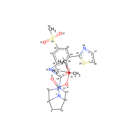 CC(C)(C)OC(=O)N1C2CCC1CN(c1nc3cc(S(C)(=O)=O)cc(-c4nccs4)c3o1)C2